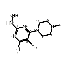 CN1CCN(c2nc(NN)nc(Cl)c2F)CC1